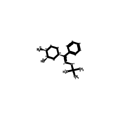 CC(C)(C)O/N=C(\c1ccccc1)[C@H]1CC[C@@H](N)[C@@H](O)C1